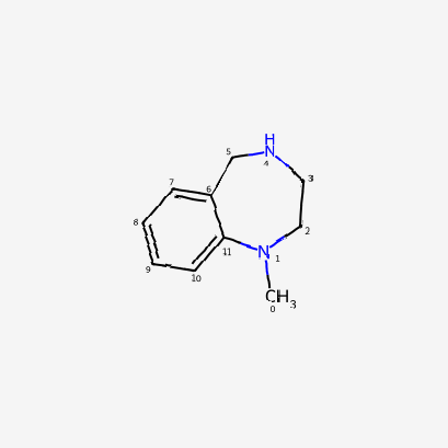 CN1CCNCc2ccccc21